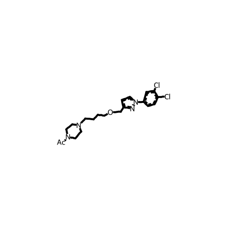 CC(=O)N1CCN(CCCCOCc2ccn(-c3ccc(Cl)c(Cl)c3)n2)CC1